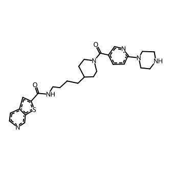 O=C(NCCCCC1CCN(C(=O)c2ccc(N3CCNCC3)nc2)CC1)c1cc2ccncc2s1